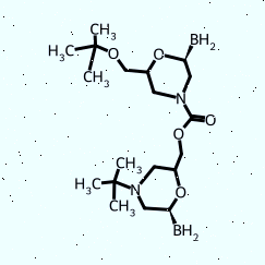 B[C@H]1CN(C(=O)OCC2CN(C(C)(C)C)C[C@H](B)O2)CC(COC(C)(C)C)O1